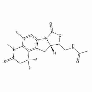 CC(=O)NCC1OC(=O)N2c3cc(F)c4c(c3C[C@@H]12)C(F)(F)CC(=O)N4C